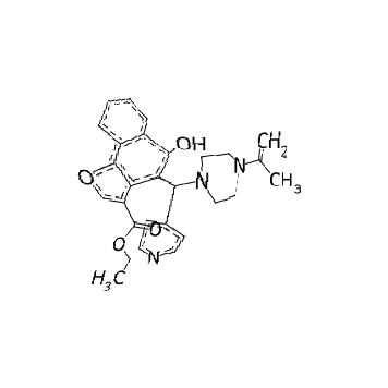 C=C(C)N1CCN(C(c2ccncc2)c2c(O)c3ccccc3c3occ(C(=O)OCC)c23)CC1